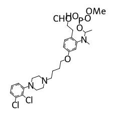 COOP(O)OC(C)N(C)c1cc(OCCCCN2CCN(c3cccc(Cl)c3Cl)CC2)ccc1CCC=O